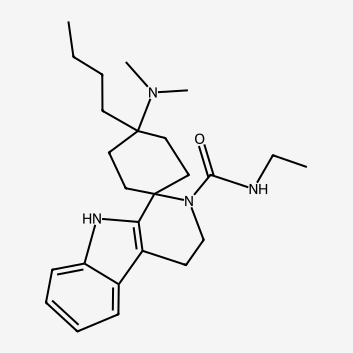 CCCCC1(N(C)C)CCC2(CC1)c1[nH]c3ccccc3c1CCN2C(=O)NCC